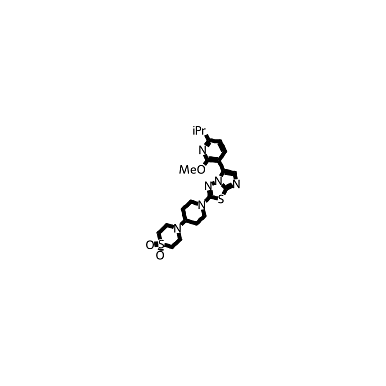 COc1nc(C(C)C)ccc1-c1cnc2sc(N3CCC(N4CCS(=O)(=O)CC4)CC3)nn12